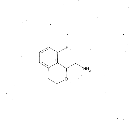 NCC1OCCc2cccc(F)c21